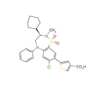 CN1[C@H](C2CCCCC2)CN(c2ccccc2)c2cc(Cl)c(-c3cc(C(=O)O)cs3)cc2S1(=O)=O